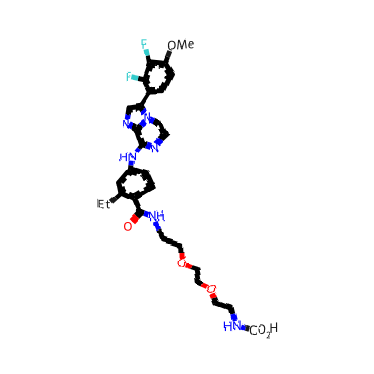 CCc1cc(Nc2nccn3c(-c4ccc(OC)c(F)c4F)cnc23)ccc1C(=O)NCCOCCOCCNC(=O)O